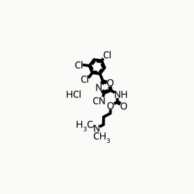 CN(C)CCCOC(=O)Nc1oc(-c2cc(Cl)cc(Cl)c2Cl)nc1C#N.Cl